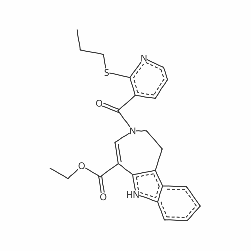 CCCSc1ncccc1C(=O)N1C=C(C(=O)OCC)c2[nH]c3ccccc3c2CC1